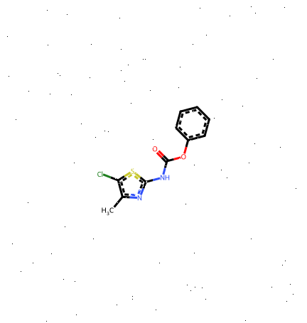 Cc1nc(NC(=O)Oc2ccccc2)sc1Cl